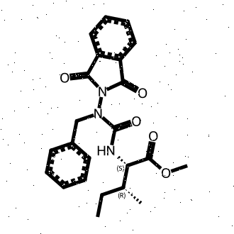 CC[C@@H](C)[C@H](NC(=O)N(Cc1ccccc1)N1C(=O)c2ccccc2C1=O)C(=O)OC